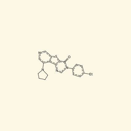 CCc1ccc(-n2cnc3c(sc4cncc(N5CCCC5)c43)c2=O)cc1